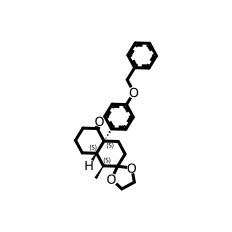 C[C@H]1[C@@H]2CCCC(=O)[C@@]2(c2ccc(OCc3ccccc3)cc2)CCC12OCCO2